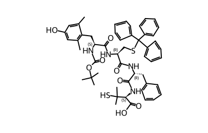 Cc1cc(O)cc(C)c1C[C@H](NC(=O)OC(C)(C)C)C(=O)N[C@@H](CSC(c1ccccc1)(c1ccccc1)c1ccccc1)C(=O)N[C@H](Cc1ccccc1)C(=O)N[C@@H](C(=O)O)C(C)(C)S